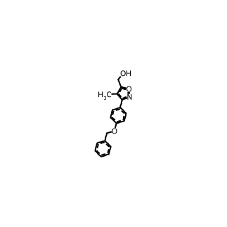 Cc1c(-c2ccc(OCc3ccccc3)cc2)noc1CO